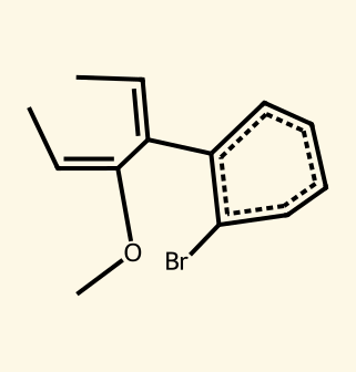 C/C=C(\C(=C/C)OC)c1ccccc1Br